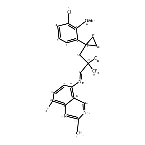 COc1c(Cl)cccc1C1(CC(O)(C=Nc2ccc(F)c3nc(C)ncc23)C(F)(F)F)CC1